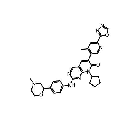 Cc1cc(-c2nnco2)ncc1-c1cc2cnc(Nc3ccc(C4CN(C)CCO4)cc3)nc2n(C2CCCC2)c1=O